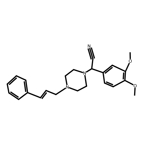 COc1ccc(C(C#N)N2CCN(CC=Cc3ccccc3)CC2)cc1OC